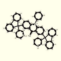 O=c1c2cc(C3(c4cccnc4)c4ccccc4-c4ccccc43)ccc2n(-c2ccccc2)c2ccc(C3(c4cccnc4)c4ccccc4-c4ccccc43)cc12